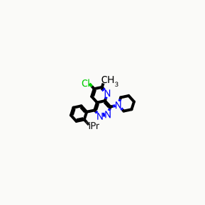 Cc1nc2c(N3CCCCC3)nnc(-c3ccccc3C(C)C)c2cc1Cl